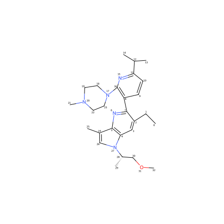 CCc1cc2c(nc1-c1ccc(C(C)C)nc1N1CCN(C)CC1)c(C)cn2[C@@H](C)COC